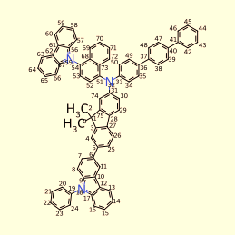 CC1(C)c2cc(-c3ccc4c(c3)c3ccccc3n4-c3ccccc3)ccc2-c2ccc(N(c3ccc(-c4ccc(-c5ccccc5)cc4)cc3)c3ccc(-n4c5ccccc5c5ccccc54)c4ccccc34)cc21